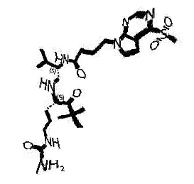 CC(C)[C@@H](CN[C@@H](CCCNC(N)=O)C(=O)C(C)(C)C)NC(=O)CCCn1ccc2c(S(C)(=O)=O)ncnc21